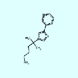 CC(C)(CCCN)n1cnc(-c2cccnc2)c1